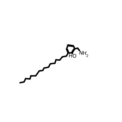 CCCCCCCCCCCCCCCCc1c[c]cc(CN)c1O